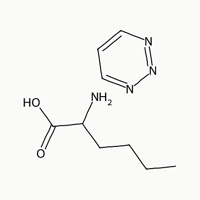 CCCCC(N)C(=O)O.c1cnnnc1